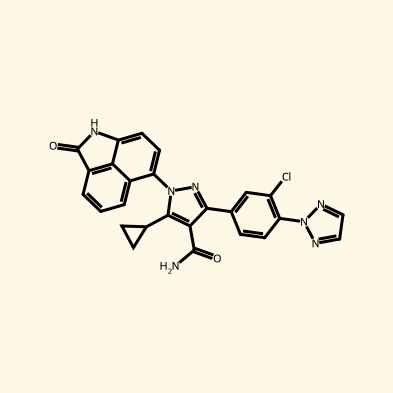 NC(=O)c1c(-c2ccc(-n3nccn3)c(Cl)c2)nn(-c2ccc3c4c(cccc24)C(=O)N3)c1C1CC1